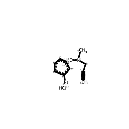 C#CCN(C)C.CCc1ccccc1.Cl